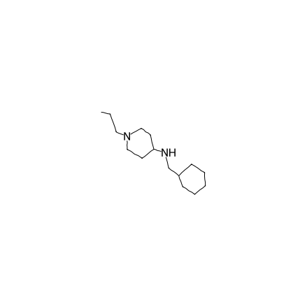 CCCN1CCC(NCC2CCCCC2)CC1